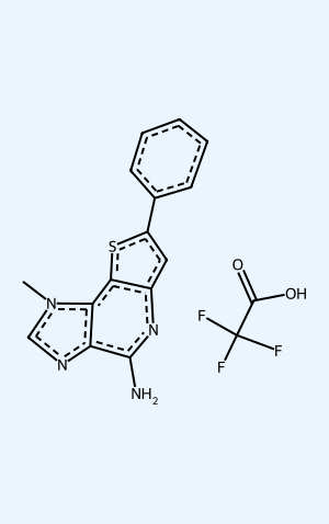 Cn1cnc2c(N)nc3cc(-c4ccccc4)sc3c21.O=C(O)C(F)(F)F